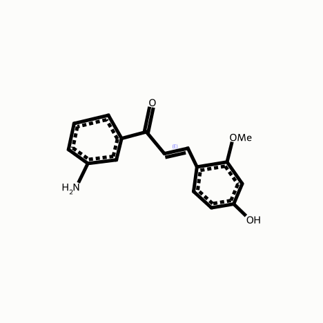 COc1cc(O)ccc1/C=C/C(=O)c1cccc(N)c1